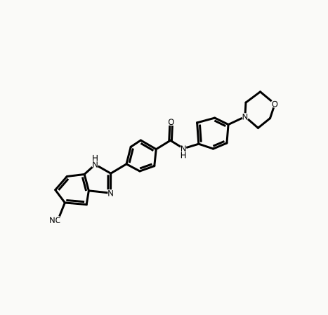 N#Cc1ccc2[nH]c(-c3ccc(C(=O)Nc4ccc(N5CCOCC5)cc4)cc3)nc2c1